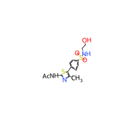 CC(=O)Nc1nc(C)c(-c2ccc(S(=O)(=O)NCCO)cc2)s1